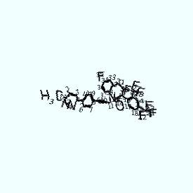 Cc1ccc(-c2ccc(C#CCN3C(=O)C(c4ccc(C(F)(F)F)cc4C(F)(F)F)CCc4cc(F)ccc43)cc2)nn1